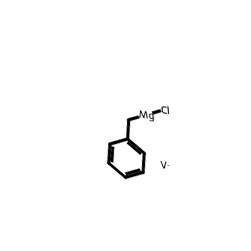 [Cl][Mg][CH2]c1ccccc1.[V]